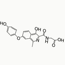 Cc1nc(C(=O)NCC(=O)O)c(O)c2ccc(Oc3ccc(O)cc3)cc12